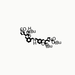 CC(C)(C)OC(=O)[C@@H](Cc1cccc(CNCc2cccc(C[C@H](C(=O)OC(C)(C)C)[C@H]3CCN(C(=O)OC(C)(C)C)C3)c2)c1)[C@H]1CCN(C(=O)O)C1